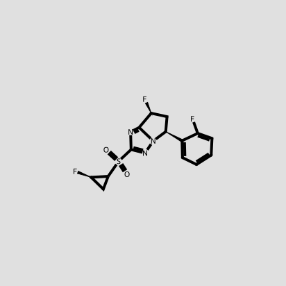 O=S(=O)(c1nc2n(n1)[C@H](c1ccccc1F)C[C@@H]2F)C1C[C@H]1F